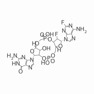 Nc1nc2c(ncn2[C@@H]2O[C@@H]3OCP(=O)(O)OC4C(F)[C@H](n5cnc6c(N)nc(F)nc65)O[C@@H]4COP(=O)(O)OC2C3O)c(=O)[nH]1